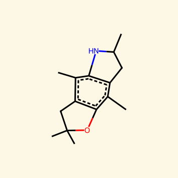 Cc1c2c(c(C)c3c1NC(C)C3)OC(C)(C)C2